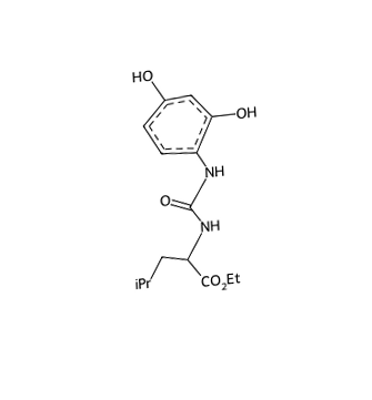 CCOC(=O)C(CC(C)C)NC(=O)Nc1ccc(O)cc1O